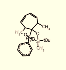 CC1C=CC=CC(C)C1(O[Si](C)(C)C(C)(C)C)S(=O)(=O)c1ccccc1